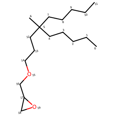 CCCCCC(C)(CCCCC)CCCOCC1CO1